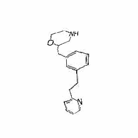 c1ccc(CCc2cccc(CC3CNCCO3)c2)nc1